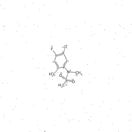 Cc1cc(F)c(Cl)cc1N(C)S(C)(=O)=O